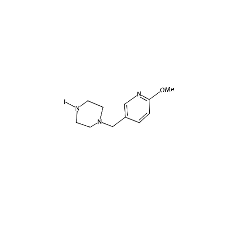 COc1ccc(CN2CCN(I)CC2)cn1